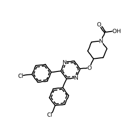 O=C(O)N1CCC(Oc2cnc(-c3ccc(Cl)cc3)c(-c3ccc(Cl)cc3)n2)CC1